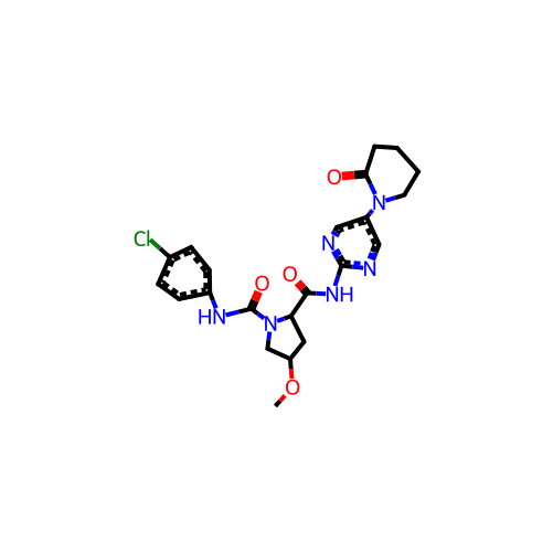 COC1CC(C(=O)Nc2ncc(N3CCCCC3=O)cn2)N(C(=O)Nc2ccc(Cl)cc2)C1